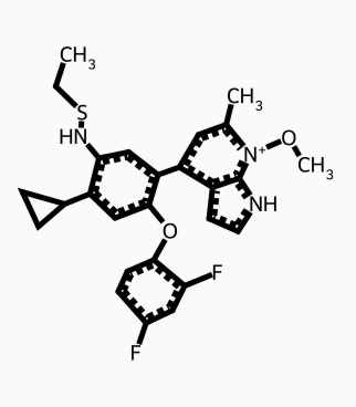 CCSNc1cc(-c2cc(C)[n+](OC)c3[nH]ccc23)c(Oc2ccc(F)cc2F)cc1C1CC1